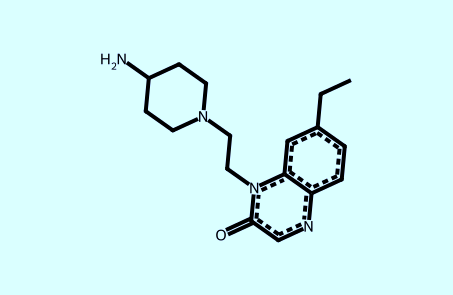 CCc1ccc2ncc(=O)n(CCN3CCC(N)CC3)c2c1